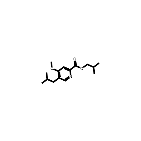 COc1cc(C(=O)OCC(C)C)ncc1CC(C)C